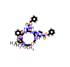 C/C1=C/O/C=C\NC(=O)C(CN2CCN(C(=O)OCc3ccccc3)CC2)NC(=O)C(CNC(=O)OCc2ccccc2)NC(=O)C(C2CCCCC2)NC(=O)C(CC(C)C)N(C)C1=O